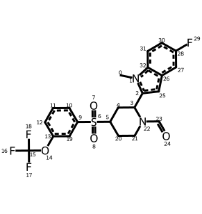 Cn1c(C2CC(S(=O)(=O)c3cccc(OC(F)(F)F)c3)CCN2C=O)cc2cc(F)ccc21